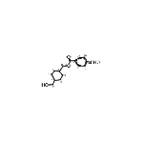 O=Cc1ccc(C(=O)OCC2CCC(CO)CC2)cc1